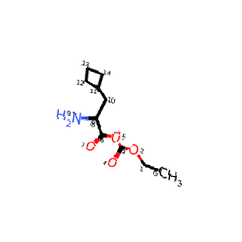 CCOC(=O)OC(=O)C(N)CC1CCC1